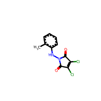 Cc1ccccc1NN1C(=O)C(Cl)=C(Cl)C1=O